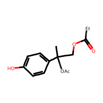 CCC(=O)OCC(C)(OC(C)=O)c1ccc(O)cc1